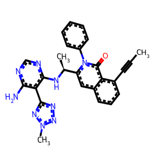 CC#Cc1cccc2cc([C@H](C)Nc3ncnc(N)c3-c3nnn(C)n3)n(-c3ccccc3)c(=O)c12